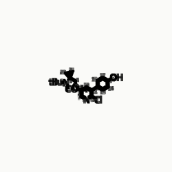 CC(C)(C)N(C(=O)O)C1(COc2cnc(Cl)c(-c3ccc(O)cc3)c2)CC1